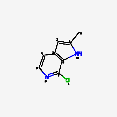 Cc1cc2ccnc(Cl)c2[nH]1